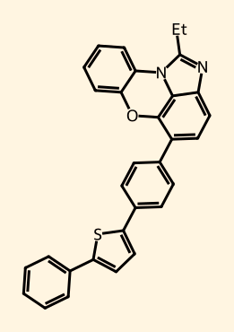 CCc1nc2ccc(-c3ccc(-c4ccc(-c5ccccc5)s4)cc3)c3c2n1-c1ccccc1O3